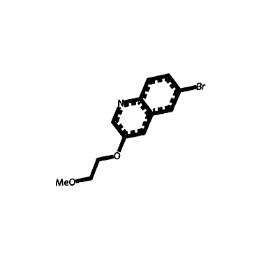 COCCOc1cnc2ccc(Br)cc2c1